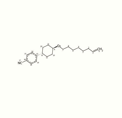 C=CCCCCCCO[C@H]1CC[C@H](c2ccc(C#N)cc2)CC1